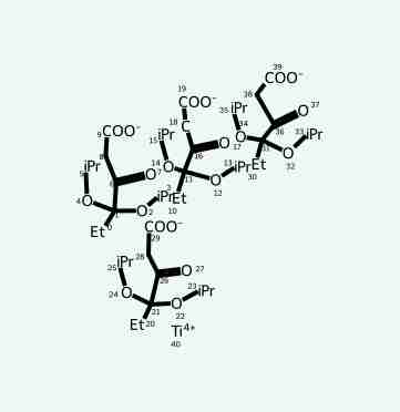 CCC(OC(C)C)(OC(C)C)C(=O)CC(=O)[O-].CCC(OC(C)C)(OC(C)C)C(=O)CC(=O)[O-].CCC(OC(C)C)(OC(C)C)C(=O)CC(=O)[O-].CCC(OC(C)C)(OC(C)C)C(=O)CC(=O)[O-].[Ti+4]